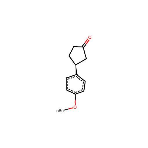 CCCCOc1ccc([C@H]2CCC(=O)C2)cc1